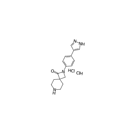 Cl.Cl.O=C1N(c2ccc(-c3cn[nH]c3)cc2)CC12CCNCC2